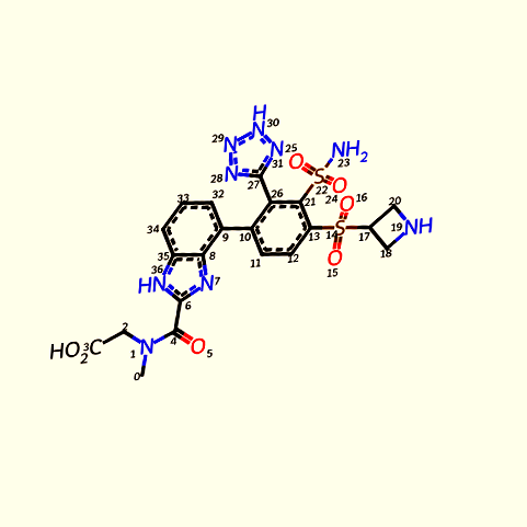 CN(CC(=O)O)C(=O)c1nc2c(-c3ccc(S(=O)(=O)C4CNC4)c(S(N)(=O)=O)c3-c3nn[nH]n3)cccc2[nH]1